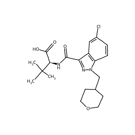 CC(C)(C)[C@H](NC(=O)c1nn(CC2CCOCC2)c2ccc(Cl)cc12)C(=O)O